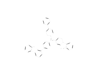 CC1C=C(c2ccccc2)C=CC1N(C1=CCC2C(=C1)Oc1ccccc12)c1ccc(-c2cccc3c2oc2ccccc23)cc1